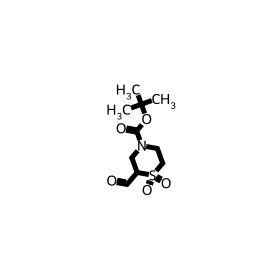 CC(C)(C)OC(=O)N1CCS(=O)(=O)C(C=O)C1